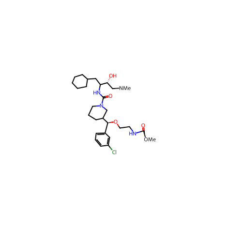 CNC[C@@H](O)C(CC1CCCCC1)NC(=O)N1CCCC([C@@H](OCCNC(=O)OC)c2cccc(Cl)c2)C1